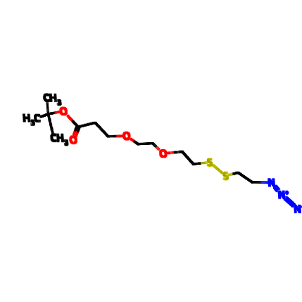 CC(C)(C)OC(=O)CCOCCOCCSSCCN=[N+]=[N-]